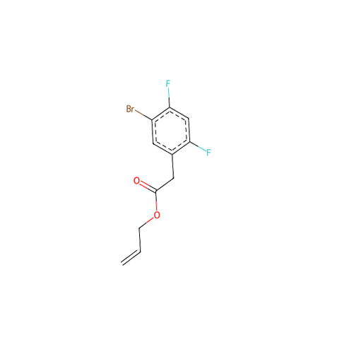 C=CCOC(=O)Cc1cc(Br)c(F)cc1F